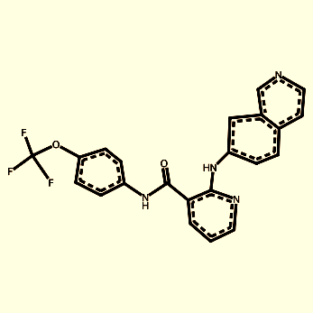 O=C(Nc1ccc(OC(F)(F)F)cc1)c1cccnc1Nc1ccc2ccncc2c1